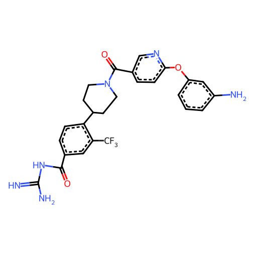 N=C(N)NC(=O)c1ccc(C2CCN(C(=O)c3ccc(Oc4cccc(N)c4)nc3)CC2)c(C(F)(F)F)c1